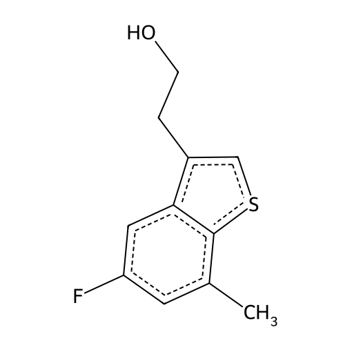 Cc1cc(F)cc2c(CCO)csc12